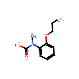 CCCOc1ccccc1N(C)C(=O)O